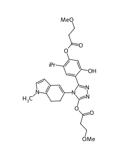 COCCC(=O)Oc1cc(O)c(-c2nnc(OC(=O)CCOC)n2C2=Cc3ccn(C)c3CC2)cc1C(C)C